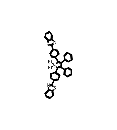 CC[Si]1(CC)C(c2ccc(-c3nc4ccccc4s3)cc2)=C(c2ccccc2)C(c2ccccc2)=C1c1ccc(-c2nc3ccccc3s2)cc1